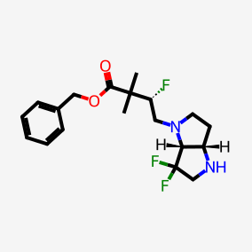 CC(C)(C(=O)OCc1ccccc1)[C@H](F)CN1CC[C@@H]2NCC(F)(F)[C@@H]21